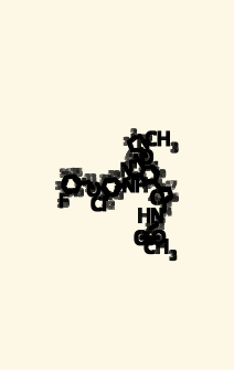 CN1CCCC1=O.CS(=O)(=O)CCNCc1ccc(-c2ccc3ncnc(Nc4ccc(OCc5cccc(F)c5)c(Cl)c4)c3c2)o1